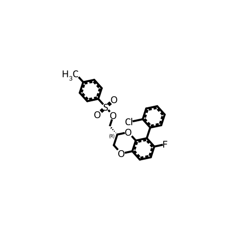 Cc1ccc(S(=O)(=O)OC[C@H]2COc3ccc(F)c(-c4ccccc4Cl)c3O2)cc1